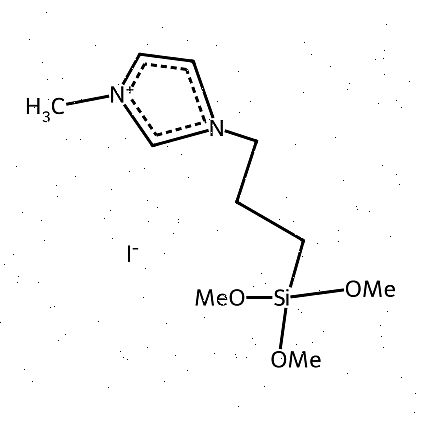 CO[Si](CCCn1cc[n+](C)c1)(OC)OC.[I-]